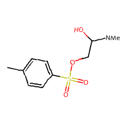 CNC(O)COS(=O)(=O)c1ccc(C)cc1